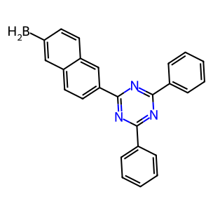 Bc1ccc2cc(-c3nc(-c4ccccc4)nc(-c4ccccc4)n3)ccc2c1